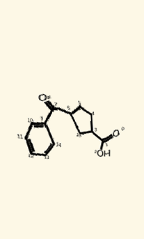 O=C(O)C1CCC(C(=O)c2ccccc2)C1